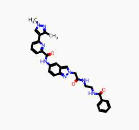 Cc1nn(C)cc1-c1cccc(C(=O)Nc2ccc3nn(CC(=O)NCCNC(=O)c4ccccc4)cc3c2)n1